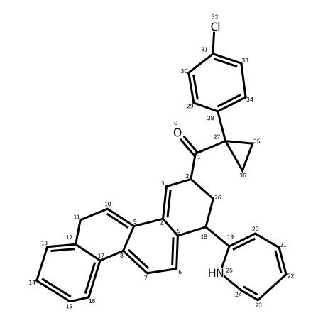 O=C(C1C=c2c(ccc3c2=CCc2ccccc2-3)C(C2=CC=CC=CN2)C1)C1(c2ccc(Cl)cc2)CC1